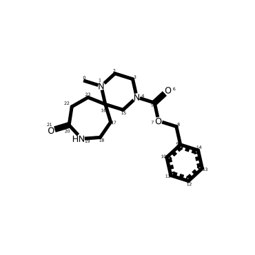 CN1CCN(C(=O)OCc2ccccc2)CC12CCNC(=O)CC2